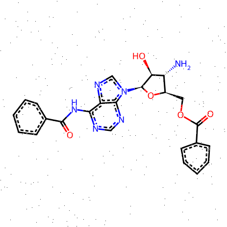 N[C@H]1[C@H](O)[C@H](n2cnc3c(NC(=O)c4ccccc4)ncnc32)O[C@@H]1COC(=O)c1ccccc1